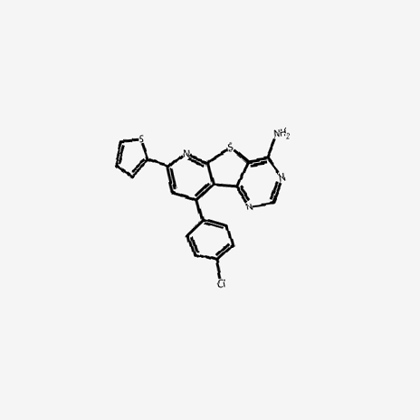 Nc1ncnc2c1sc1nc(-c3cccs3)cc(-c3ccc(Cl)cc3)c12